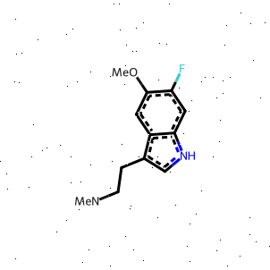 CNCCc1c[nH]c2cc(F)c(OC)cc12